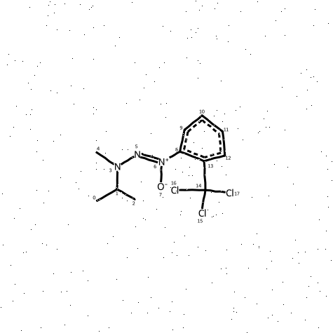 CC(C)N(C)N=[N+]([O-])c1ccccc1C(Cl)(Cl)Cl